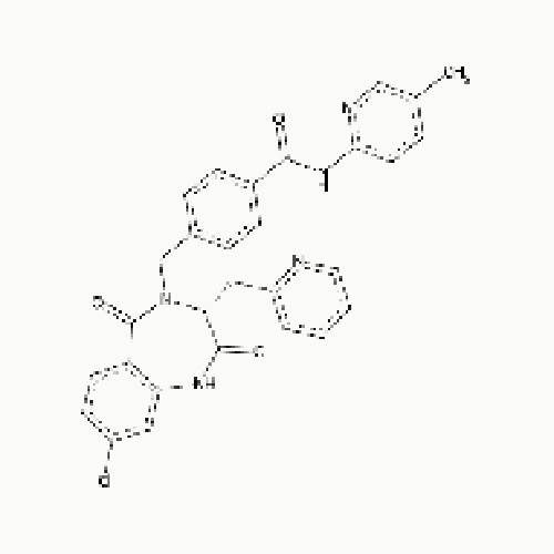 Cc1ccc(NC(=O)c2ccc(CN3C(=O)c4ccc(Cl)cc4NC(=O)[C@H]3Cc3ccccn3)cc2)nc1